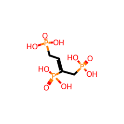 O=P(O)(O)C/C=C(/CP(=O)(O)O)P(=O)(O)O